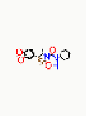 C[C@@H]1[C@@H](c2ccc3c(c2)OCO3)SC(=O)N1C(=O)NC1CCCCC1